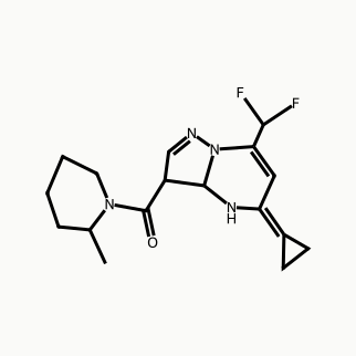 CC1CCCCN1C(=O)C1C=NN2C(C(F)F)=CC(=C3CC3)NC12